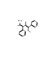 CCC(=C(C)C(=[C]([Zr])P(=O)=O)c1ccccc1)c1ccccc1.Cl.Cl